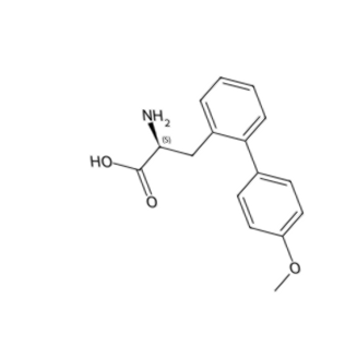 COc1ccc(-c2ccccc2C[C@H](N)C(=O)O)cc1